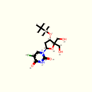 CC(C)(C)[Si](C)(C)O[C@H]1C[C@H](n2cc(F)c(=O)[nH]c2=O)OC1(CO)CO